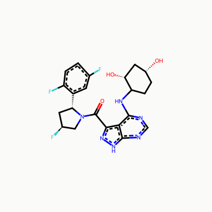 O=C(c1n[nH]c2ncnc(NC3CC[C@@H](O)C[C@H]3O)c12)N1C[C@@H](F)C[C@@H]1c1cc(F)ccc1F